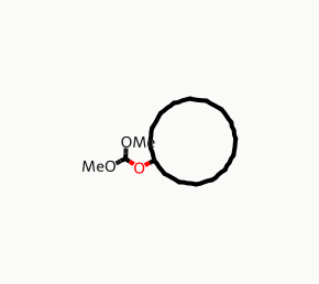 COC(OC)OC1CCCCCCCCCCCCCCC1